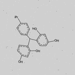 CC(C)c1ccc(C(c2ccc(O)cc2O)c2ccc(O)cc2O)cc1